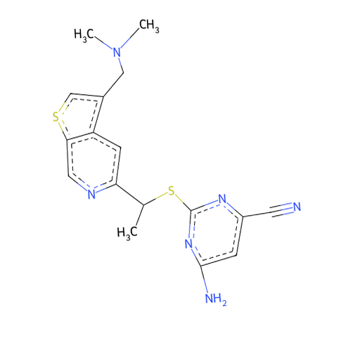 CC(Sc1nc(N)cc(C#N)n1)c1cc2c(CN(C)C)csc2cn1